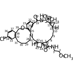 COCCNC(=O)[C@@H]1CCC[C@@H]2C[C@@]2(C)S(=O)(=O)NC(=O)c2ccc3c(c2)N(CCCCc2cc(Cl)ccc2CO3)C[C@@H]2CC[C@H]21